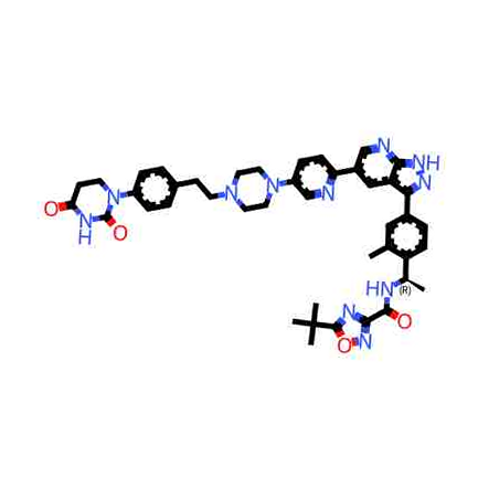 Cc1cc(-c2n[nH]c3ncc(-c4ccc(N5CCN(CCc6ccc(N7CCC(=O)NC7=O)cc6)CC5)cn4)cc23)ccc1[C@@H](C)NC(=O)c1noc(C(C)(C)C)n1